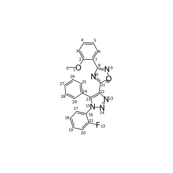 COc1ccccc1-c1noc(-c2nnn(-c3ccccc3F)c2-c2ccccc2)n1